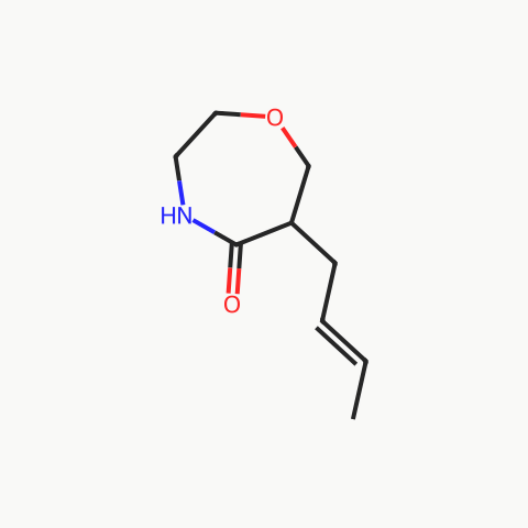 C/C=C/CC1COCCNC1=O